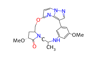 COc1cc2cc(c1)-c1cnn3ccc(nc13)OCC1C[C@@H](OC)C(=O)N1CC(C)N2